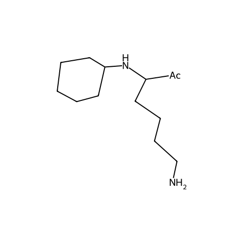 CC(=O)C(CCCCN)NC1CCCCC1